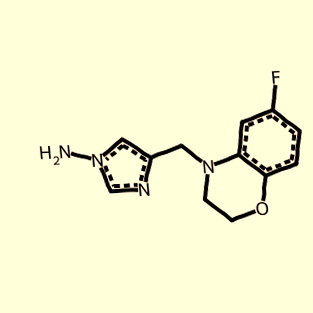 Nn1cnc(CN2CCOc3ccc(F)cc32)c1